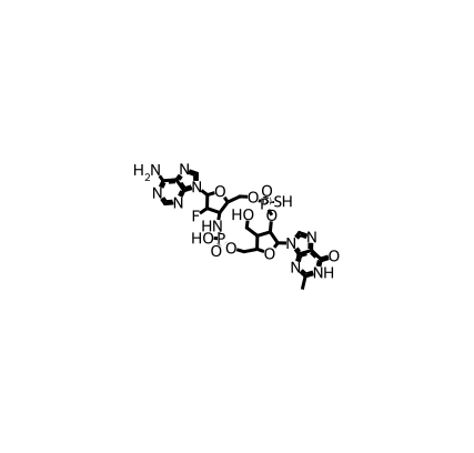 Cc1nc2c(ncn2C2OC3COP(=O)(O)NC4C(CO[P@](=O)(S)OC2C3CO)OC(n2cnc3c(N)ncnc32)C4F)c(=O)[nH]1